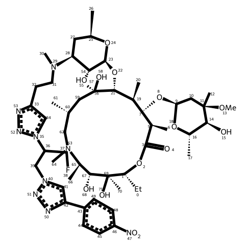 CC[C@H]1OC(=O)[C@H](C)[C@@H](O[C@H]2C[C@@](C)(OC)[C@@H](O)[C@H](C)O2)[C@H](C)[C@@H](O[C@@H]2O[C@H](C)C[C@H](N(C)CCc3cn(C(CF)Cn4cc(-c5ccc([N+](=O)[O-])cc5)nn4)nn3)[C@H]2O)[C@](C)(O)C[C@@H](C)CN(C)[C@H](C)[C@@H](O)[C@]1(C)O